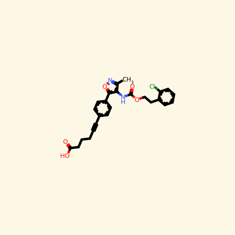 Cc1noc(-c2ccc(C#CCCCC(=O)O)cc2)c1NC(=O)OCCc1ccccc1Cl